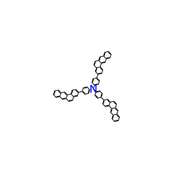 c1ccc2cc3c(ccc4cc(-c5ccc(N(c6ccc(-c7ccc8c(ccc9cc%10ccccc%10cc98)c7)cc6)c6ccc(-c7ccc8c(ccc9cc%10ccccc%10cc98)c7)cc6)cc5)ccc43)cc2c1